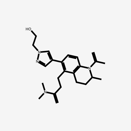 C=C(CCc1c(-c2cnn(CCO)c2)ccc2c1CCC(C)N2C(=C)C)N(C)C